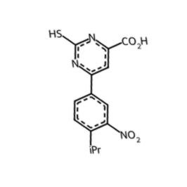 CC(C)c1ccc(-c2cc(C(=O)O)nc(S)n2)cc1[N+](=O)[O-]